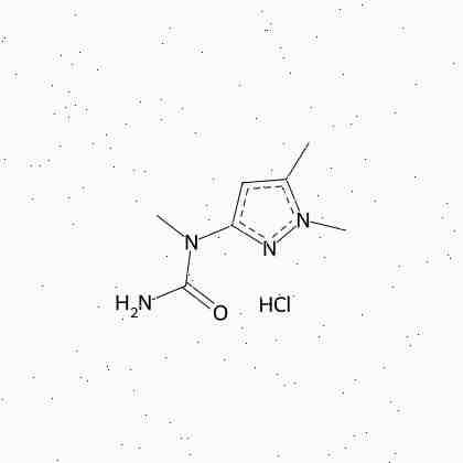 Cc1cc(N(C)C(N)=O)nn1C.Cl